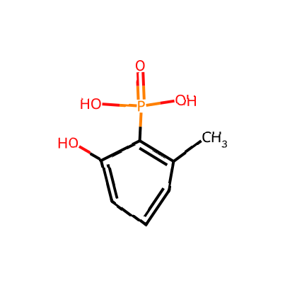 Cc1cccc(O)c1P(=O)(O)O